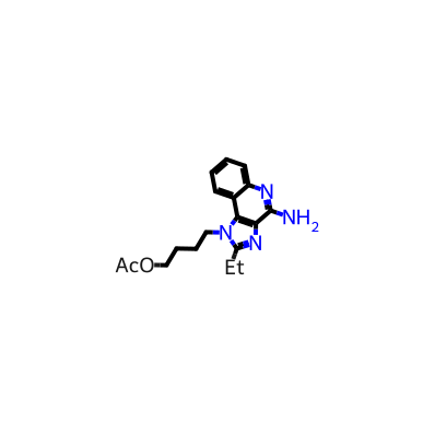 CCc1nc2c(N)nc3ccccc3c2n1CCCCOC(C)=O